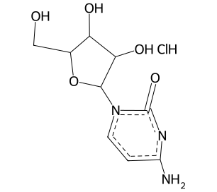 Cl.Nc1ccn(C2OC(CO)C(O)C2O)c(=O)n1